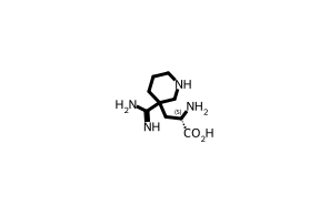 N=C(N)C1(C[C@H](N)C(=O)O)CCCNC1